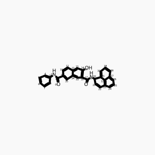 O=C(Nc1ccccc1)c1ccc2cc(O)c(C(=O)NC3C=Cc4cccc5cccc3c45)cc2c1